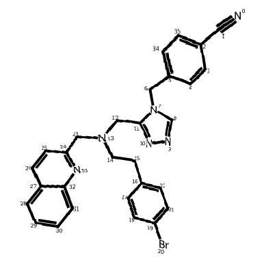 N#Cc1ccc(Cn2cnnc2CN(CCc2ccc(Br)cc2)Cc2ccc3ccccc3n2)cc1